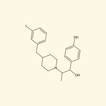 CC(C(O)c1ccc(O)cc1)N1CCC(Cc2cccc(I)c2)CC1